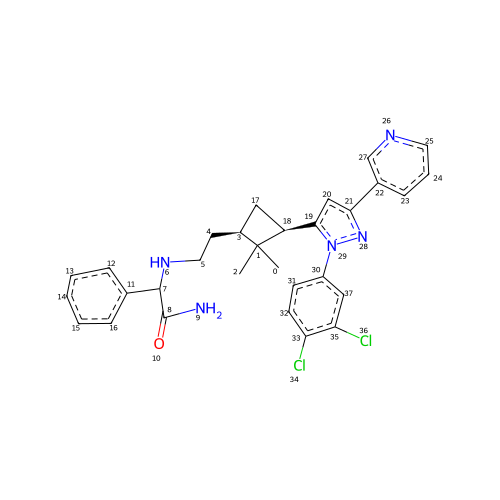 CC1(C)[C@@H](CCNC(C(N)=O)c2ccccc2)C[C@H]1c1cc(-c2cccnc2)nn1-c1ccc(Cl)c(Cl)c1